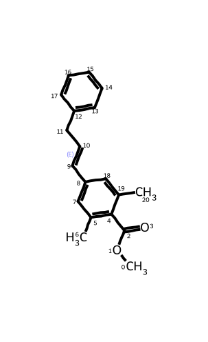 COC(=O)c1c(C)cc(/C=C/Cc2ccccc2)cc1C